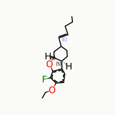 CCC/C=C/C1CC[C@H]2c3ccc(OCC)c(F)c3O[C@@H]2C1